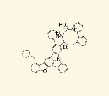 C=C1CC2(CC)[n+]3ccccc3-c3cc4c5cc6c(oc7cccc(CC8CCCC8)c76)c6c7ccccc7n(c4cc3C2(CC)CCc2ccccc2-c2cccc[n+]21)c56